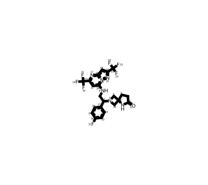 O=C1CCC2(CN(C(CNc3cc(C(F)(F)F)nc4cc(C(F)(F)F)nn34)c3ccc(F)cc3)C2)N1